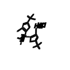 CC1=[C]([Zr]([C]2=C(C)C=C(C(C)(C)C)C2)=[Si](C)C)CC(C(C)(C)C)=C1.Cl.Cl